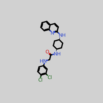 O=C(CNc1ccc(Cl)c(Cl)c1)N[C@H]1CC[C@@H](Nc2ccc3ccccc3n2)CC1